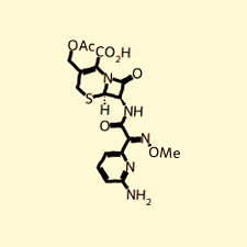 CON=C(C(=O)N[C@@H]1C(=O)N2C(C(=O)O)=C(COC(C)=O)CS[C@H]12)c1cccc(N)n1